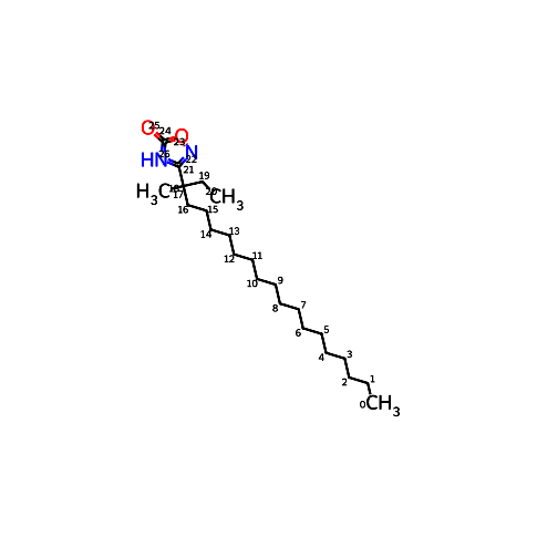 CCCCCCCCCCCCCCCCCC(C)(CC)c1noc(=O)[nH]1